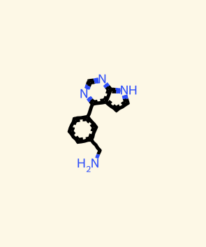 NCc1cccc(-c2ncnc3[nH]ccc23)c1